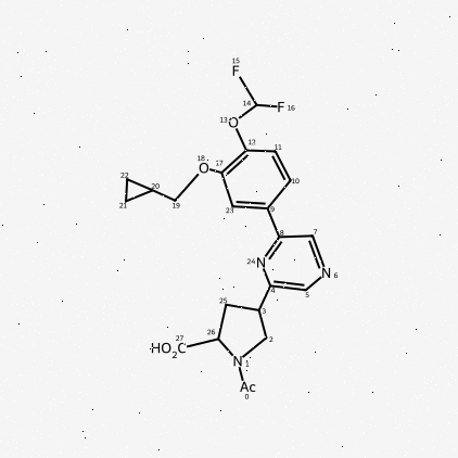 CC(=O)N1CC(c2cncc(-c3ccc(OC(F)F)c(OCC4CC4)c3)n2)CC1C(=O)O